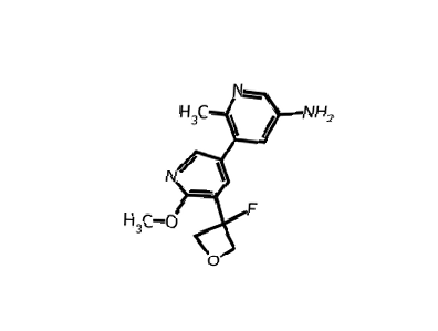 COc1ncc(-c2cc(N)cnc2C)cc1C1(F)COC1